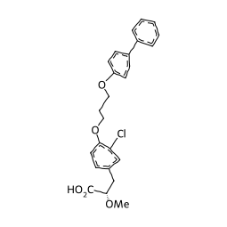 CO[C@@H](Cc1ccc(OCCCOc2ccc(-c3ccccc3)cc2)c(Cl)c1)C(=O)O